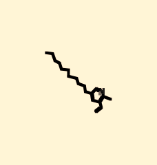 C=Cc1cc(CCCCCCCCCCC)cnc1C